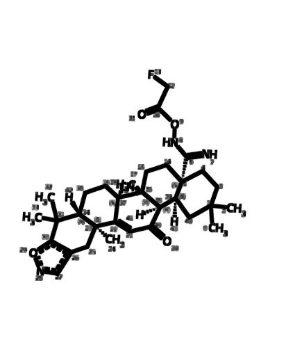 CC1(C)CC[C@]2(C(=N)NOC(=O)CF)CC[C@]3(C)[C@H](C(=O)C=C4[C@@]5(C)Cc6cnoc6C(C)(C)[C@@H]5CC[C@]43C)[C@@H]2C1